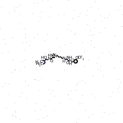 C/C=C\C(=C/C)C(O)CNC(=O)c1cn(CCCCN/C=C(\N)C(=O)NCc2cccc(OC(F)(F)F)c2)nn1